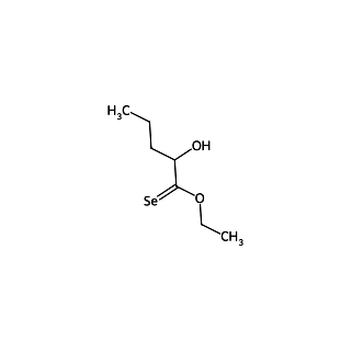 CCCC(O)C(=[Se])OCC